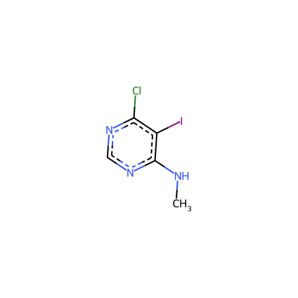 CNc1ncnc(Cl)c1I